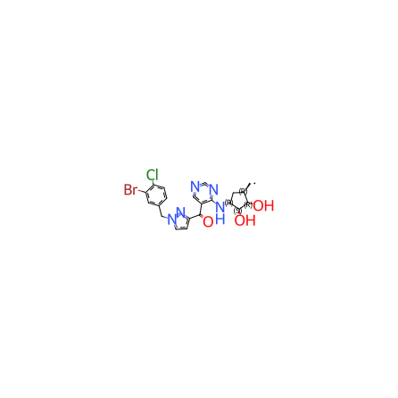 [CH2][C@@H]1C[C@@H](Nc2ncncc2C(=O)c2ccn(Cc3ccc(Cl)c(Br)c3)n2)[C@H](O)[C@@H]1O